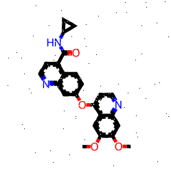 COc1cc2nccc(Oc3ccc4c(C(=O)NC5CC5)ccnc4c3)c2cc1OC